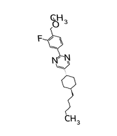 CCCCC[C@H]1CC[C@H](c2cnc(-c3ccc(COC)c(F)c3)nc2)CC1